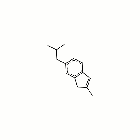 CC1=Cc2ccc(CC(C)C)cc2C1